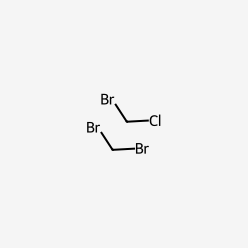 BrCBr.ClCBr